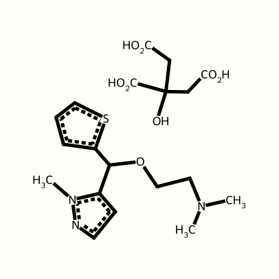 CN(C)CCOC(c1cccs1)c1ccnn1C.O=C(O)CC(O)(CC(=O)O)C(=O)O